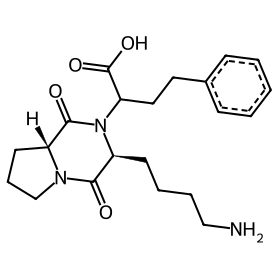 NCCCC[C@H]1C(=O)N2CCC[C@@H]2C(=O)N1C(CCc1ccccc1)C(=O)O